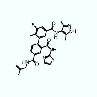 C=C(C)CNC(=O)c1ccc(-c2cc(C(=O)Nc3c(C)n[nH]c3C)cc(F)c2C)c(C(=O)Nc2nccs2)c1